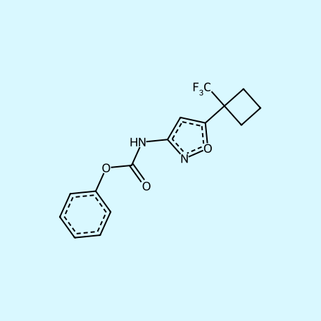 O=C(Nc1cc(C2(C(F)(F)F)CCC2)on1)Oc1ccccc1